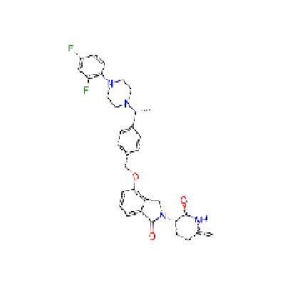 C=C1CC[C@H](N2Cc3c(OCc4ccc([C@@H](C)N5CCN(c6ccc(F)cc6F)CC5)cc4)cccc3C2=O)C(=O)N1